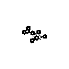 c1ccc(-c2nc3c(N(c4ccccc4)c4ccc(-c5cc6ccccc6c6ccccc56)cc4)c4oc5ccccc5c4cc3o2)cc1